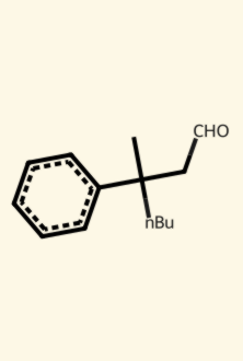 CCCCC(C)(CC=O)c1ccccc1